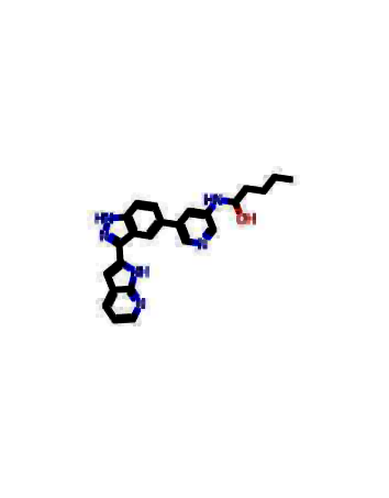 CCCCC(O)Nc1cncc(-c2ccc3[nH]nc(-c4cc5cccnc5[nH]4)c3c2)c1